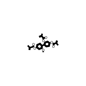 C=C(C)C(=O)Oc1ccc(-c2ccc(OC(=O)C(=C)C)cc2OC(=O)C(=C)C)c(OC)c1